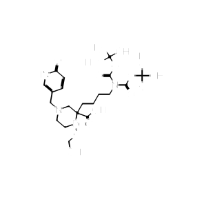 CCOP1(=O)CCN(Cc2ccc(=O)[nH]c2)CC1(CCCCN(C(=O)OC(C)(C)C)C(=O)OC(C)(C)C)C(=O)O